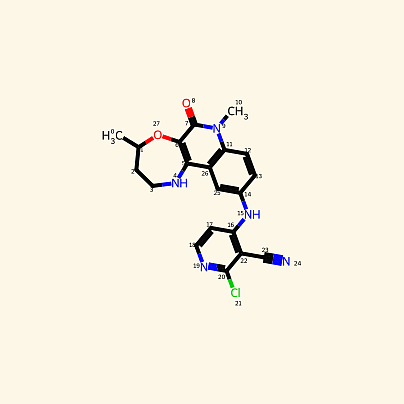 CC1CCNc2c(c(=O)n(C)c3ccc(Nc4ccnc(Cl)c4C#N)cc23)O1